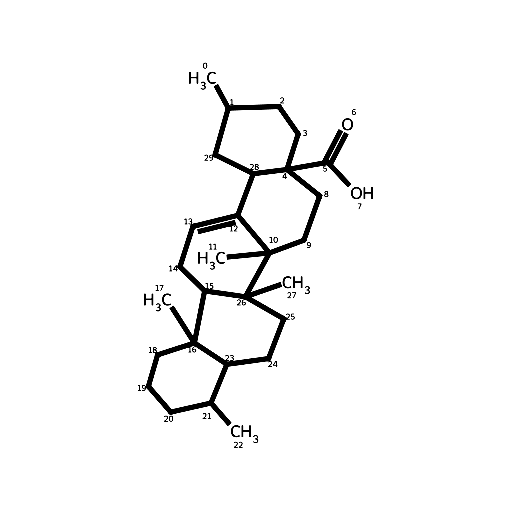 CC1CCC2(C(=O)O)CCC3(C)C(=CCC4C5(C)CCCC(C)C5CCC43C)C2C1